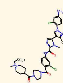 Cn1c(-c2cn(-c3ccc(N)cc3F)nc2C(F)(F)F)cnc1C(=O)Nc1ccc(C(=O)N2CCN(C(=O)C3CC[N+](C)(CC(=O)O)CC3)CC2)c(Cl)c1